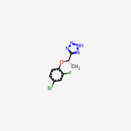 C[C@H](Oc1ccc(Br)cc1F)c1nn[nH]n1